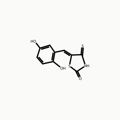 O=C1NC(=S)C(=Cc2cc(O)ccc2O)S1